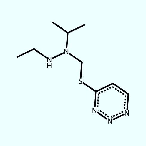 CCNN(CSc1ccnnn1)C(C)C